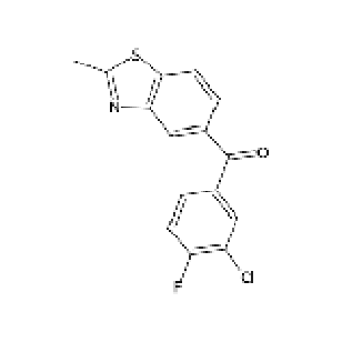 Cc1nc2cc(C(=O)c3ccc(F)c(Cl)c3)ccc2s1